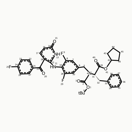 CC(C)(C)OC(=O)N(Cc1cc(F)c(Nc2[nH]c(=O)ccc2C(=O)c2ccc(F)cc2)c(F)c1)[C@@H](Cc1ccccc1)C(=O)OC1CCCC1